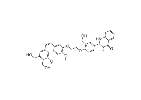 COc1ccc(/C=C\c2cc(CO)c(CO)c(OC)c2)cc1OCCOc1ccc(C2NC(=O)c3ccccc3N2)cc1CO